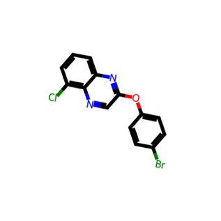 Clc1cccc2nc(Oc3ccc(Br)cc3)cnc12